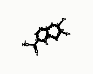 O=C(O)c1cnc2cc(F)c(F)cc2n1